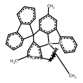 Cc1cc2c3c(c1)C1(c4ccccc4-c4ccccc41)c1cc(C)cc4c1[N+]3([n+]1ccccc1-2)[n+]1ccc(C)cc1-4